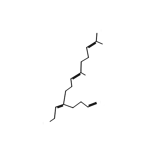 C=CCC/C(=C\CO)CC/C=C(\C)CCC=C(C)C